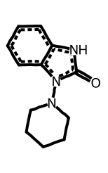 O=c1[nH]c2ccccc2n1N1CCCCC1